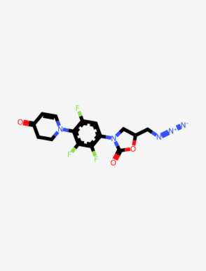 [N-]=[N+]=NCC1CN(c2cc(F)c(N3C=CC(=O)CC3)c(F)c2F)C(=O)O1